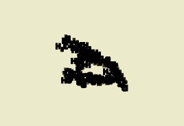 Cc1ncsc1-c1ccc([C@H](C)NC(=O)[C@@H]2C[C@@H](O)CN2C(=O)[C@@H](NCCCCCCCC(=O)N2CCN(CC3(C)CCC(c4ccc(Cl)cc4)=C(CN4CCN(c5ccc(C(=O)NS(=O)(=O)c6ccc(N[C@H](CCN7CCCCC7CO)CSc7ccccc7)c([N+](=O)[O-])c6)cc5)CC4)C3)CC2)C(C)(C)C)cc1